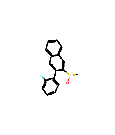 C[S+]([O-])c1cc2ccccc2cc1-c1ccccc1F